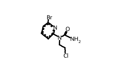 NC(=O)N(CCCl)c1cccc(Br)n1